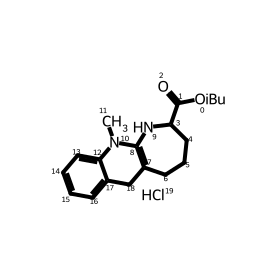 CC(C)COC(=O)C1CCCC2=C(N1)N(C)c1ccccc1C2.Cl